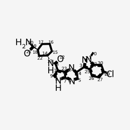 Cn1nc(-c2cnc3[nH]cc(C(=O)N[C@H]4CCC[C@H](C(N)=O)C4)c3n2)c2ccc(Cl)cc21